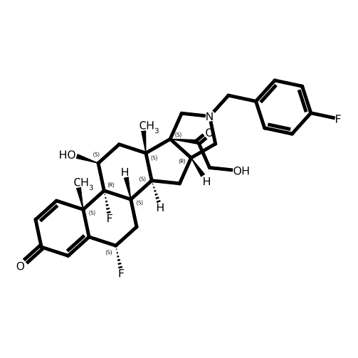 C[C@]12C=CC(=O)C=C1[C@@H](F)C[C@H]1[C@@H]3C[C@H]4CN(Cc5ccc(F)cc5)C[C@@]4(C(=O)CO)[C@@]3(C)C[C@H](O)[C@@]12F